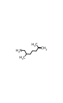 C=C(C)CCCC(C)CN